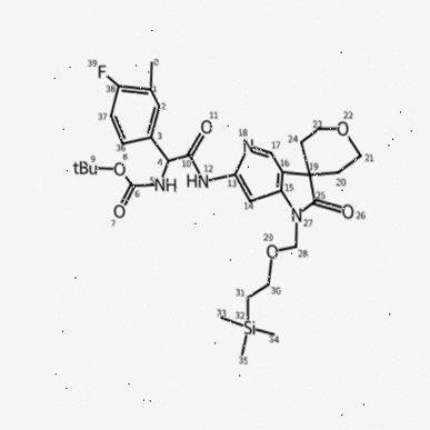 Cc1cc(C(NC(=O)OC(C)(C)C)C(=O)Nc2cc3c(cn2)C2(CCOCC2)C(=O)N3COCC[Si](C)(C)C)ccc1F